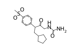 CS(=O)(=O)c1ccc(C(CC2CCCC2)C(=O)CNC(N)=O)cc1